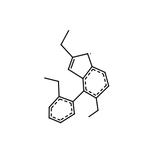 CCC1=Cc2c(ccc(CC)c2-c2ccccc2CC)[CH]1